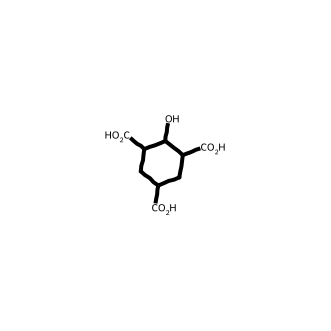 O=C(O)C1CC(C(=O)O)C(O)C(C(=O)O)C1